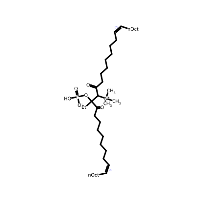 CCCCCCCC/C=C\CCCCCCCC(=O)C(C(CC)(OP(=O)([O-])O)C(=O)CCCCCCC/C=C\CCCCCCCC)[N+](C)(C)C